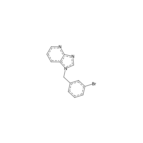 Brc1cccc(Cn2cnc3ncccc32)c1